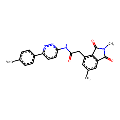 COc1ccc(-c2ccc(NC(=O)Cc3cc(C)cc4c3C(=O)N(C)C4=O)nn2)cc1